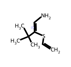 C=CS/C(=C\N)C(C)(C)C